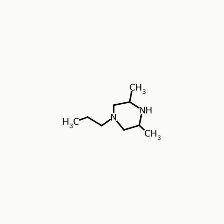 CCCN1CC(C)NC(C)C1